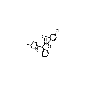 CC1CC=C(C(NC(=O)c2ccc(Cl)cc2Cl)c2ccccc2)N(C)C1